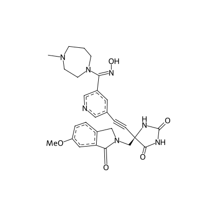 COc1ccc2c(c1)C(=O)N(C[C@@]1(C#Cc3cncc(C(=NO)N4CCCN(C)CC4)c3)NC(=O)NC1=O)C2